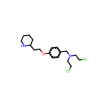 ClCCN(CCCl)Cc1ccc(OCCC2CCCCN2)cc1